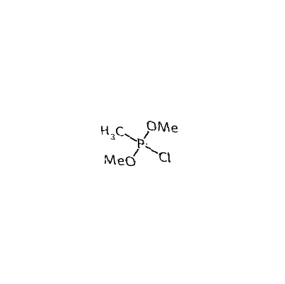 CO[P](C)(Cl)OC